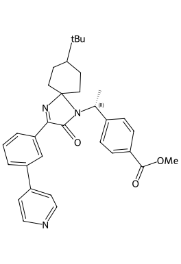 COC(=O)c1ccc([C@@H](C)N2C(=O)C(c3cccc(-c4ccncc4)c3)=NC23CCC(C(C)(C)C)CC3)cc1